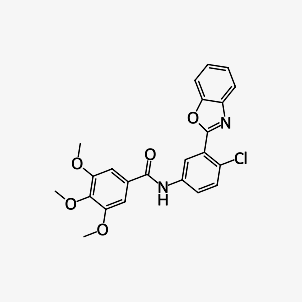 COc1cc(C(=O)Nc2ccc(Cl)c(-c3nc4ccccc4o3)c2)cc(OC)c1OC